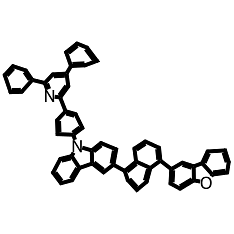 c1ccc(-c2cc(-c3ccccc3)nc(-c3ccc(-n4c5ccccc5c5cc(-c6cccc7c(-c8ccc9oc%10ccccc%10c9c8)cccc67)ccc54)cc3)c2)cc1